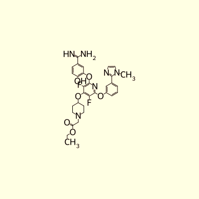 CCOC(=O)CN1CCC(Oc2c(F)c(Oc3cccc(-c4nccn4C)c3)nc(Oc3cc(C(=N)N)ccc3O)c2F)CC1